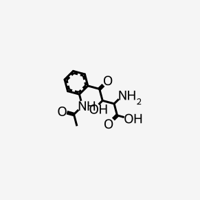 CC(=O)Nc1ccccc1C(=O)C(O)C(N)C(=O)O